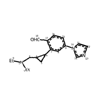 CCN(CC)CC1CC1c1cc(-n2ccnc2)ccc1C=O